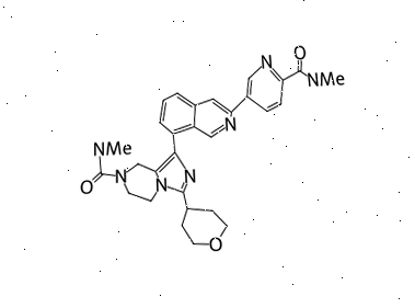 CNC(=O)c1ccc(-c2cc3cccc(-c4nc(C5CCOCC5)n5c4CN(C(=O)NC)CC5)c3cn2)cn1